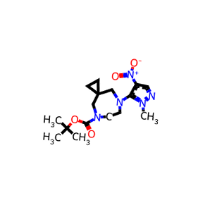 Cn1ncc([N+](=O)[O-])c1N1CCN(C(=O)OC(C)(C)C)CC2(CC2)C1